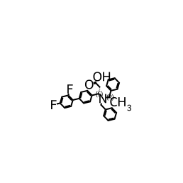 C[C@H](c1ccccc1)N(Cc1ccccc1)[C@@H](CC(=O)O)c1ccc(-c2ccc(F)cc2F)cc1